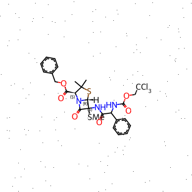 CS[C@@]1(NC(=O)C(NC(=O)OCC(Cl)(Cl)Cl)c2ccccc2)C(=O)N2[C@@H](C(=O)OCc3ccccc3)C(C)(C)S[C@@H]21